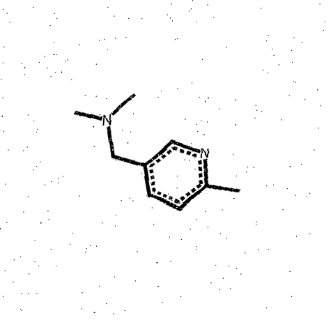 Cc1ccc(CN(C)C)cn1